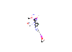 COc1ncc(-c2nc(N3CCOCC3)nc3c(CN4CCC(CCCC(=O)NOC5CCCCO5)CC4)cc(F)cc23)cc1NS(=O)(=O)C1CC1